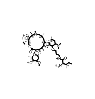 CC[C@H](C)[C@H](N)C(=O)NCCCO[C@H]1[C@H](O[C@@H]2[C@@H](C)[C@H](O[C@H]3C[C@@](C)(OC)[C@@H](O)[C@H](C)O3)[C@@H](C)C(=O)O[C@H](CC)[C@@](C)(O)[C@H](O)[C@@H](C)N(C)C[C@H](C)C[C@@]2(C)O)O[C@H](C)C[C@@H]1N(C)C